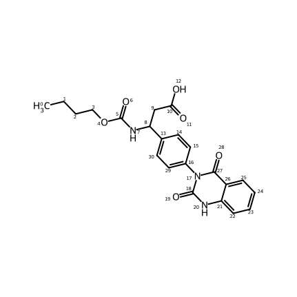 CCCCOC(=O)NC(CC(=O)O)c1ccc(-n2c(=O)[nH]c3ccccc3c2=O)cc1